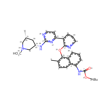 Cc1ccc2c(NC(=O)OC(C)(C)C)cccc2c1Oc1ncccc1-c1ccnc(N[C@H]2C[C@@H](C)CN(C(=O)O)C2)n1